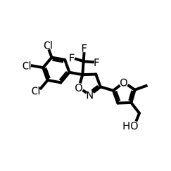 Cc1oc(C2=NOC(c3cc(Cl)c(Cl)c(Cl)c3)(C(F)(F)F)C2)cc1CO